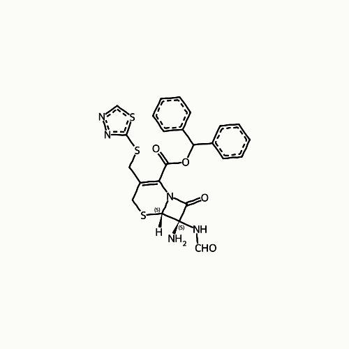 N[C@]1(NC=O)C(=O)N2C(C(=O)OC(c3ccccc3)c3ccccc3)=C(CSc3nncs3)CS[C@H]21